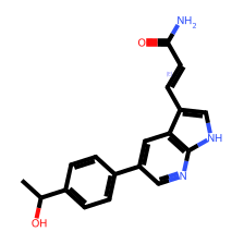 CC(O)c1ccc(-c2cnc3[nH]cc(/C=C/C(N)=O)c3c2)cc1